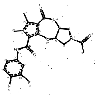 CC(=O)N1CC2NC(=O)c3c(c(C(=O)Nc4ccc(F)c(F)c4)n(C)c3C)OC2C1